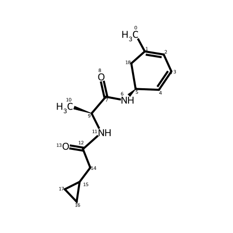 CC1=C[C]=C[C@@H](NC(=O)[C@H](C)NC(=O)CC2CC2)C1